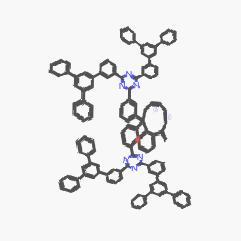 C=C1/C=C\C=C/CC(c2cccc(-c3nc(-c4cccc(-c5cc(-c6ccccc6)cc(-c6ccccc6)c5)c4)nc(-c4cccc(-c5cc(-c6ccccc6)cc(-c6ccccc6)c5)c4)n3)c2)(c2cccc(-c3nc(-c4cccc(-c5cc(-c6ccccc6)cc(-c6ccccc6)c5)c4)nc(-c4cccc(-c5cc(-c6ccccc6)cc(-c6ccccc6)c5)c4)n3)c2)c2ccccc21